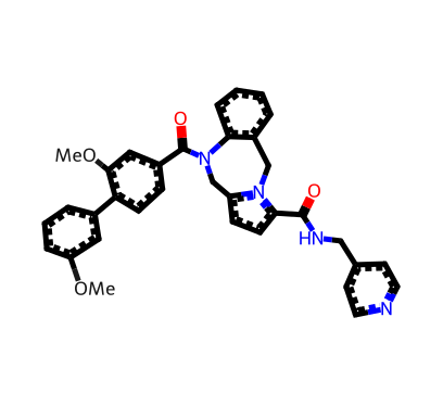 COc1cccc(-c2ccc(C(=O)N3Cc4ccc(C(=O)NCc5ccncc5)n4Cc4ccccc43)cc2OC)c1